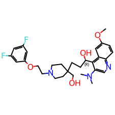 COc1ccc2ncc(N(C)C)c([C@H](O)CCC3(CO)CCN(CCOc4cc(F)cc(F)c4)CC3)c2c1